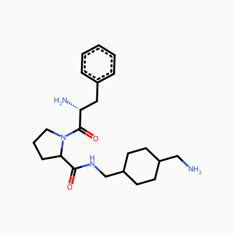 NCC1CCC(CNC(=O)C2CCCN2C(=O)[C@H](N)Cc2ccccc2)CC1